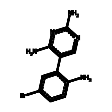 Nc1ncc(-c2cc(Br)ccc2N)c(N)n1